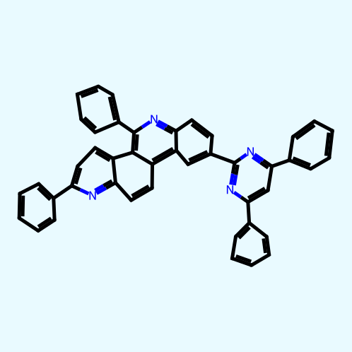 c1ccc(-c2cc(-c3ccccc3)nc(-c3ccc4nc(-c5ccccc5)c5c6ccc(-c7ccccc7)nc6ccc5c4c3)n2)cc1